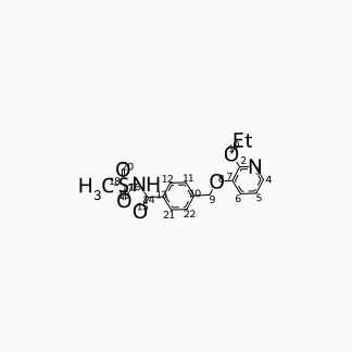 CCOc1ncccc1OCc1ccc(C(=O)NS(C)(=O)=O)cc1